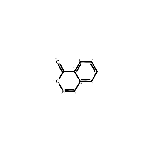 O=c1oncc2ccccc12